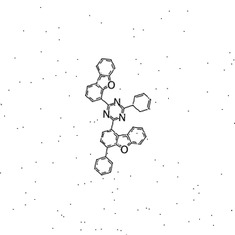 C1=CCC(c2nc(-c3cccc4c3oc3ccccc34)nc(-c3ccc(-c4ccccc4)c4oc5ccccc5c34)n2)C=C1